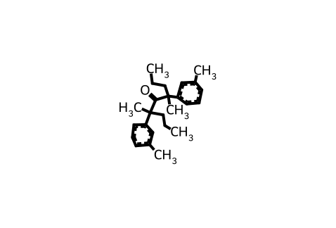 CCCC(C)(C(=O)C(C)(CCC)c1cccc(C)c1)c1cccc(C)c1